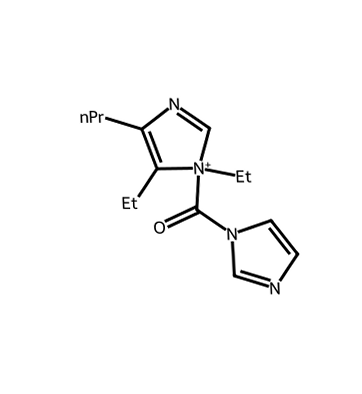 CCCC1=C(CC)[N+](CC)(C(=O)n2ccnc2)C=N1